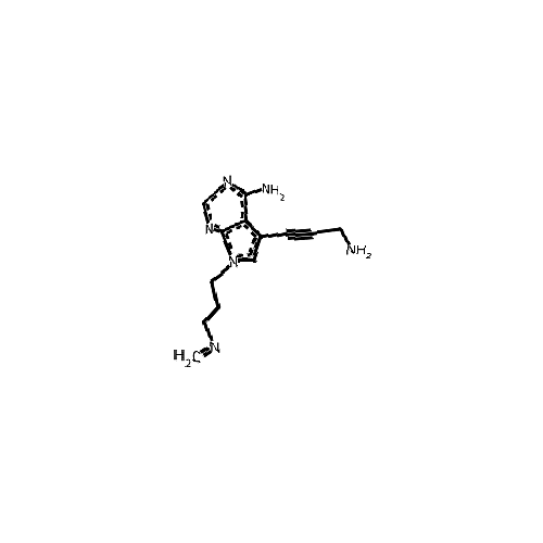 C=NCCCn1cc(C#CCN)c2c(N)ncnc21